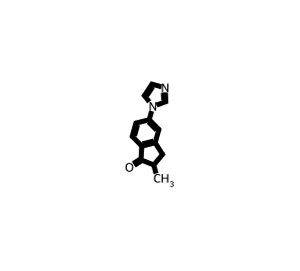 CC1Cc2cc(-n3ccnc3)ccc2C1=O